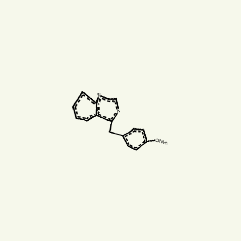 COc1ccc(Cc2ncnc3ccccc23)cc1